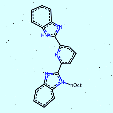 CCCCCCCCn1c(-c2cccc(-c3nc4ccccc4[nH]3)n2)nc2ccccc21